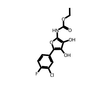 CCOC(=O)Nc1oc(-c2ccc(F)c(Cl)c2)c(O)c1O